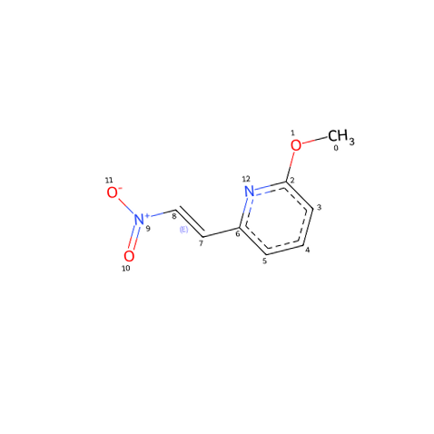 COc1cccc(/C=C/[N+](=O)[O-])n1